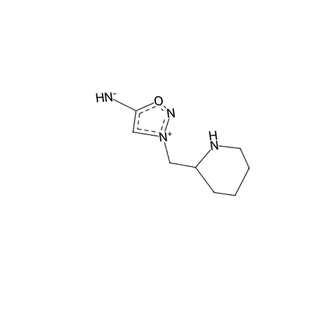 [NH-]c1c[n+](CC2CCCCN2)no1